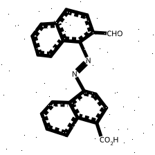 O=Cc1ccc2ccccc2c1N=Nc1ccc(C(=O)O)c2ccccc12